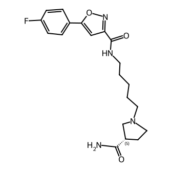 NC(=O)[C@H]1CCN(CCCCCNC(=O)c2cc(-c3ccc(F)cc3)on2)C1